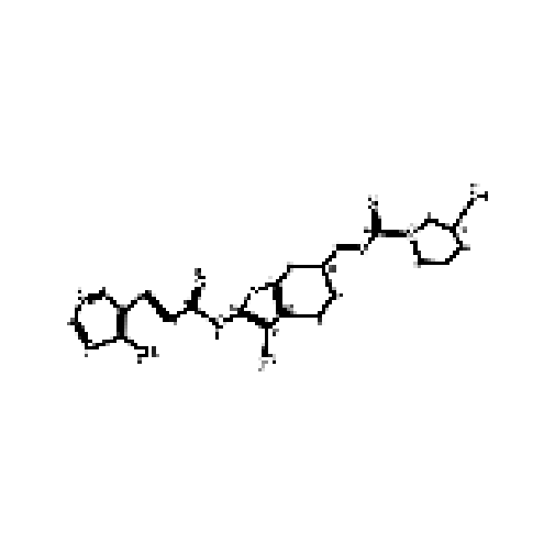 Cc1ccncc1C=CC(=O)Nc1sc2c(c1C#N)CCC(COC(=O)N1CCCC(O)C1)C2